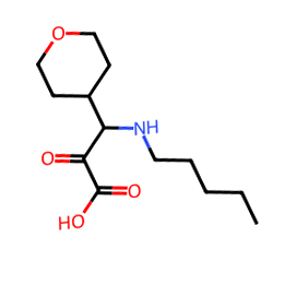 CCCCCNC(C(=O)C(=O)O)C1CCOCC1